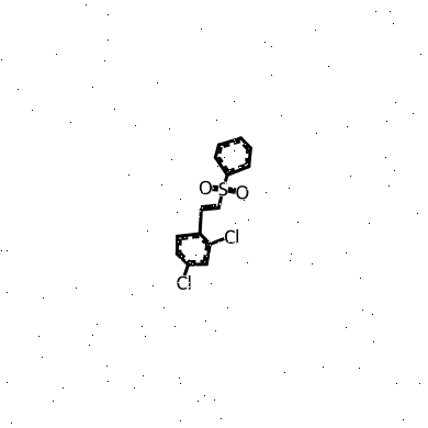 O=S(=O)(C=Cc1ccc(Cl)cc1Cl)c1ccccc1